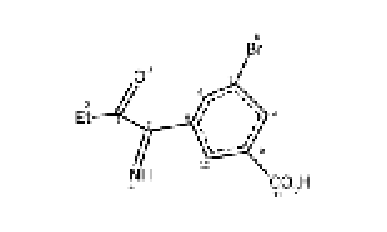 CCC(=O)C(=N)c1cc(Br)cc(C(=O)O)c1